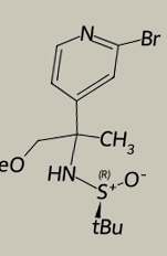 COCC(C)(N[S@@+]([O-])C(C)(C)C)c1ccnc(Br)c1